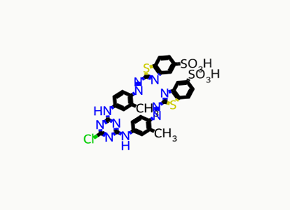 Cc1cc(Nc2nc(Cl)nc(Nc3ccc(/N=N/c4nc5cc(S(=O)(=O)O)ccc5s4)c(C)c3)n2)ccc1/N=N/c1nc2cc(S(=O)(=O)O)ccc2s1